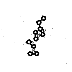 c1ccc(-c2cccc(-c3ccc4c(c3)oc3cccc(-n5c6ccccc6c6cc(-n7c8ccccc8c8cc(-n9c%10ccccc%10c%10ccccc%109)ccc87)ccc65)c34)c2)cc1